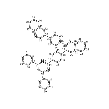 c1ccc(-c2cc(-c3ccccc3)nc(-c3ccc(-c4cc5ccccc5cc4-c4ccc(-c5cnc6ccccc6c5)cc4)cc3)n2)cc1